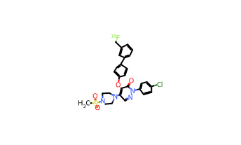 CS(=O)(=O)N1CCN(c2cnn(-c3ccc(Cl)cc3)c(=O)c2Oc2ccc(-c3cccc(C[18F])c3)cc2)CC1